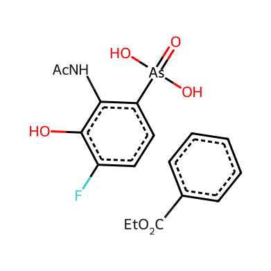 CC(=O)Nc1c([As](=O)(O)O)ccc(F)c1O.CCOC(=O)c1ccccc1